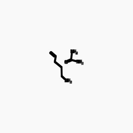 C=CCCCN.NC(N)=O